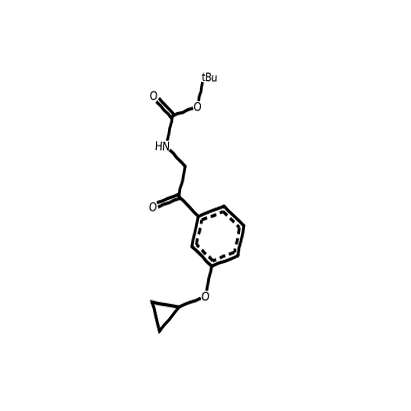 CC(C)(C)OC(=O)NCC(=O)c1cccc(OC2CC2)c1